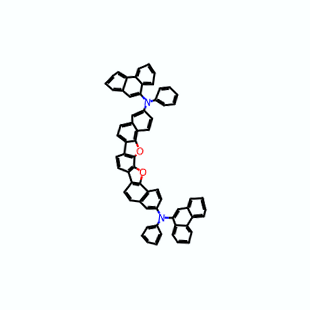 c1ccc(N(c2ccc3c(ccc4c5ccc6c7ccc8cc(N(c9ccccc9)c9cc%10ccccc%10c%10ccccc9%10)ccc8c7oc6c5oc34)c2)c2cc3ccccc3c3ccccc23)cc1